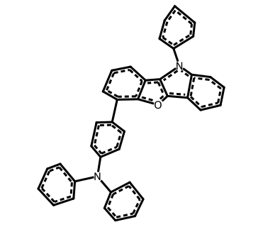 c1ccc(N(c2ccccc2)c2ccc(-c3cccc4c3oc3c5ccccc5n(-c5ccccc5)c43)cc2)cc1